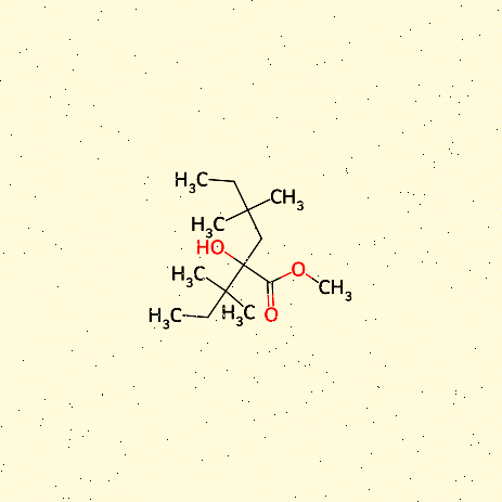 CCC(C)(C)CC(O)(C(=O)OC)C(C)(C)CC